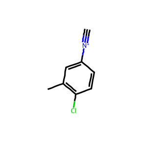 C#[N+]c1ccc(Cl)c(C)c1